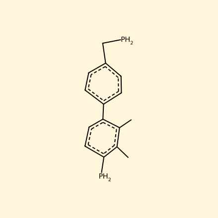 Cc1c(P)ccc(-c2ccc(CP)cc2)c1C